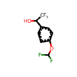 OC(c1ccc(OC(F)F)cc1)C(F)(F)F